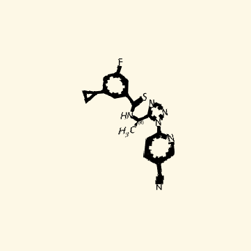 C[C@@H](NC(=S)c1cc(F)cc(C2CC2)c1)c1ncnn1-c1ccc(C#N)cn1